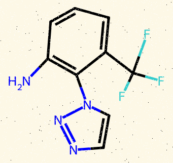 Nc1cccc(C(F)(F)F)c1-n1ccnn1